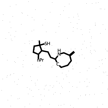 C=C1CCCCC(CCC2C(CCC)CCC2(C)S)NC1